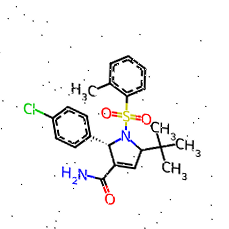 Cc1ccccc1S(=O)(=O)N1C(C(C)(C)C)C=C(C(N)=O)[C@@H]1c1ccc(Cl)cc1